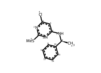 CSc1nc(Cl)cc(N[C@@H](C)c2ccccc2)n1